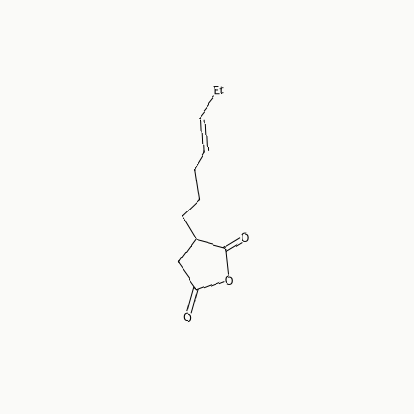 CCC=CCCCC1CC(=O)OC1=O